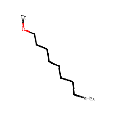 [CH2]CCCCCCCCCCCCCOCC